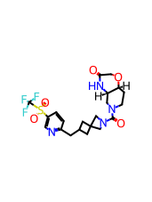 O=C1CO[C@@H]2CCN(C(=O)N3CC4(CC(Cc5ccc(S(=O)(=O)C(F)(F)F)cn5)C4)C3)C[C@@H]2N1